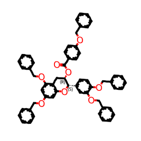 O=C(O[C@@H]1Cc2c(OCc3ccccc3)cc(OCc3ccccc3)cc2O[C@H]1c1ccc(OCc2ccccc2)c(OCc2ccccc2)c1)c1ccc(OCc2ccccc2)cc1